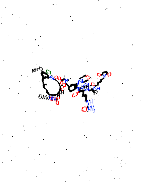 COc1cc2cc(c1Cl)N(C)C(=O)C[C@H](OC(=O)[C@H](C)N(C)C(=O)c1ccc(NC(=O)[C@H](CCCNC(N)=O)NC[C@@](C=O)(NC(=O)CCCCCN3C(=O)C=CC3=O)C(C)C)c(N3CCOCC3)c1)[C@]1(C)O[C@H]1[C@H](C)[C@@H]1C[C@@](O)(NC(=O)O1)[C@H](OC)/C=C/C=C(\C)C2